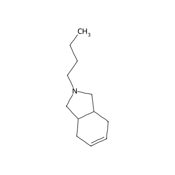 CCCCN1CC2CC=CCC2C1